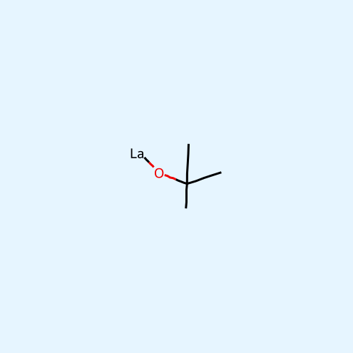 CC(C)(C)[O][La]